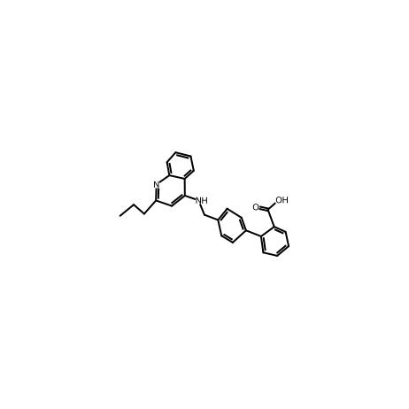 CCCc1cc(NCc2ccc(-c3ccccc3C(=O)O)cc2)c2ccccc2n1